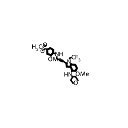 COc1cc(S(C)(=O)=O)ccc1NCC#Cc1cc2c(NC3CCOCC3)c(OC)ccc2n1CC(F)(F)F